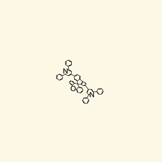 c1ccc(-c2cc(-c3ccc4c(c3)C3(c5ccccc5Oc5ccccc53)c3cc(-c5cc(-c6ccccc6)nc(-c6ccccc6)c5)ccc3-4)cc(-c3ccccc3)n2)cc1